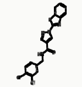 O=C(NCc1ccc(Cl)c(Cl)c1)c1cnn(-c2nc3ccccc3s2)c1